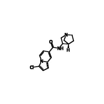 O=C(NC1CN2CC[C@H]1C2)c1ccn2c(Cl)ccc2c1